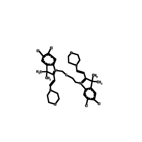 CC1(C)C(C=CN2CCOCC2)=[N+](CCCC[N+]2=C(C=CN3CCOCC3)C(C)(C)c3cc(Cl)c(Cl)cc32)c2cc(Cl)c(Cl)cc21